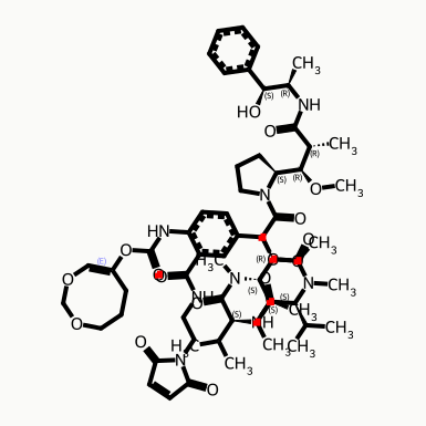 CC[C@H](C)[C@@H]([C@@H](CC(=O)N1CCC[C@H]1[C@H](OC)[C@@H](C)C(=O)N[C@H](C)[C@@H](O)c1ccccc1)OC)N(C)C(=O)[C@@H](NC(=O)[C@H](C(C)C)N(C)C(=O)OCc1ccc(NC(=O)O/C2=C/OCOCCC2)c(C(=O)NCCN2C(=O)C=CC2=O)c1)C(C)C